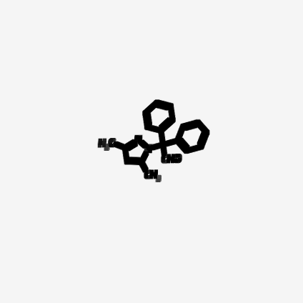 Cc1cc(C)n(C(C=O)(c2ccccc2)c2ccccc2)n1